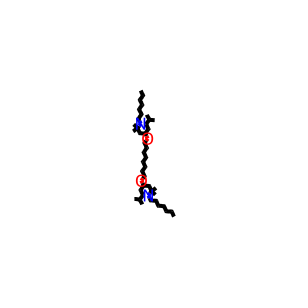 CCCCCCCN1C(C(C)C)CC(OCCCCCCCCOC2CC(C(C)C)N(CCCCCCC)C(C)(C)C2)CC1(C)C